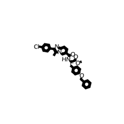 COC(=O)[C@H](Cc1ccc(OCc2ccccc2)cc1)NC(=O)c1ccc2nc(-c3ccc(Cl)cc3)c(C)n2c1